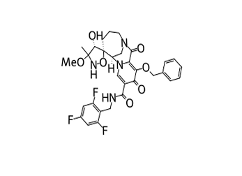 COC1(C)NO[C@@]2(CCCN3C[C@H]2n2cc(C(=O)NCc4c(F)cc(F)cc4F)c(=O)c(OCc4ccccc4)c2C3=O)[C@H]1O